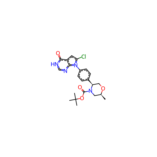 C[C@H]1CN(C(=O)OC(C)(C)C)[C@@H](c2ccc(-n3c(Cl)cc4c(=O)[nH]cnc43)cc2)CO1